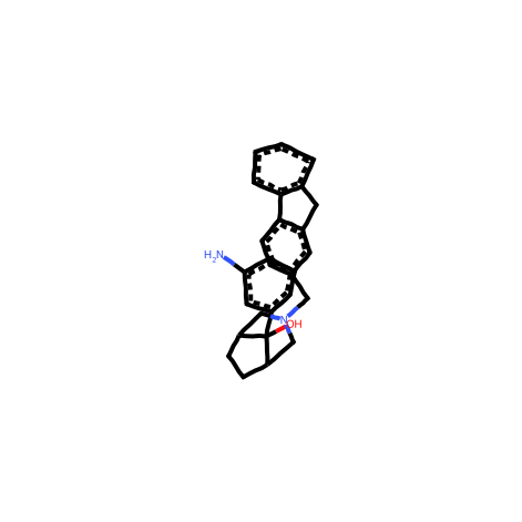 Nc1cccc(C2(O)C3CCC2CN(Cc2ccc4c(c2)Cc2ccccc2-4)C3)c1